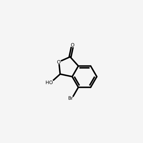 O=C1OC(O)c2c(Br)cccc21